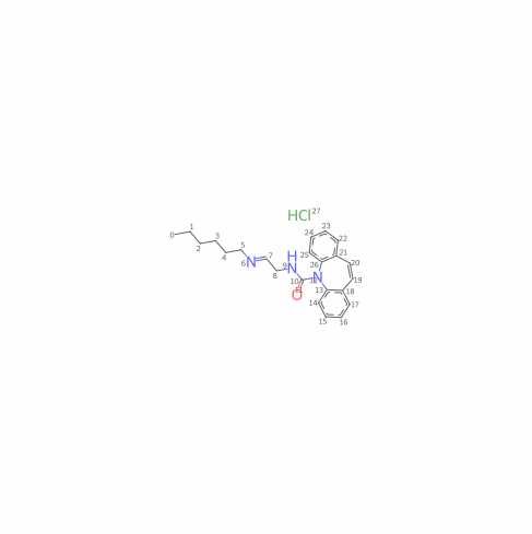 CCCCCCN=CCNC(=O)N1c2ccccc2C=Cc2ccccc21.Cl